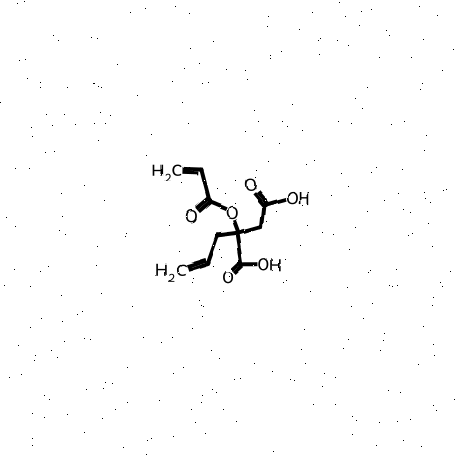 C=CCC(CC(=O)O)(OC(=O)C=C)C(=O)O